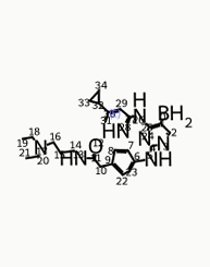 Bc1cnc(Nc2ccc(CC(=O)NCCCN(CC)CC)cc2)nc1NC(=N)/C=C(\C)C1CC1